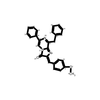 COc1ccc(/C=C2\N=C3C(Cc4ccccc4)=NC(c4ccccc4)=CN3C2=O)cc1